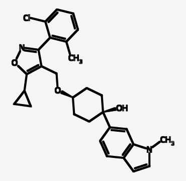 Cc1cccc(Cl)c1-c1noc(C2CC2)c1CO[C@H]1CC[C@](O)(c2ccc3ccn(C)c3c2)CC1